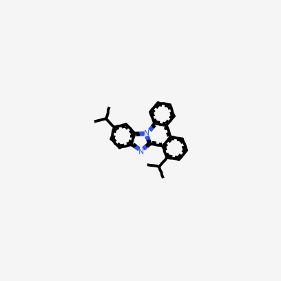 CC(C)c1ccc2nc3c4c(C(C)C)cccc4c4ccccc4n3c2c1